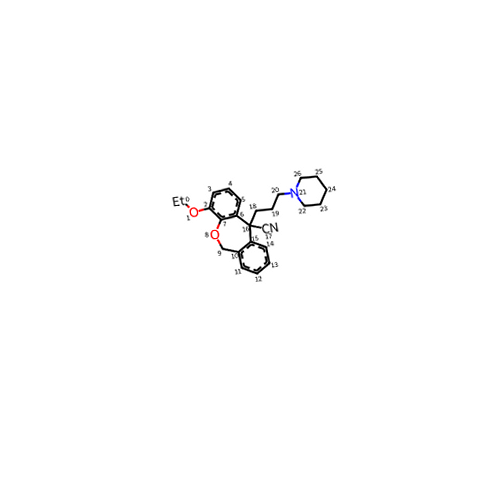 CCOc1cccc2c1OCc1ccccc1C2(C#N)CCCN1CCCCC1